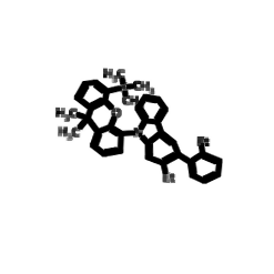 CCc1ccccc1-c1cc2c3ccccc3n(-c3cccc4c3Oc3c(cccc3S(C)(C)C)C4(C)C)c2cc1CC